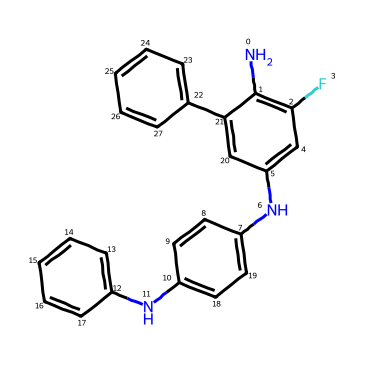 Nc1c(F)cc(Nc2ccc(Nc3ccccc3)cc2)cc1-c1ccccc1